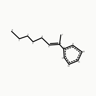 CCCCCC=C(C)c1ccccc1